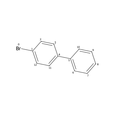 Brc1c[c]c(-c2ccccc2)cc1